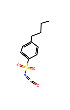 CCCCc1ccc(S(=O)(=O)N=C=O)cc1